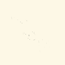 CC(C)(C)N(CCNc1ncc(B2OC(C)(C)C(C)(C)O2)cn1)C(=O)O